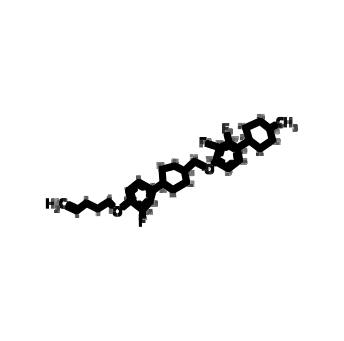 C=CCCCOc1ccc(C2CCC(COc3ccc(C4CCC(C)CC4)c(F)c3F)CC2)cc1F